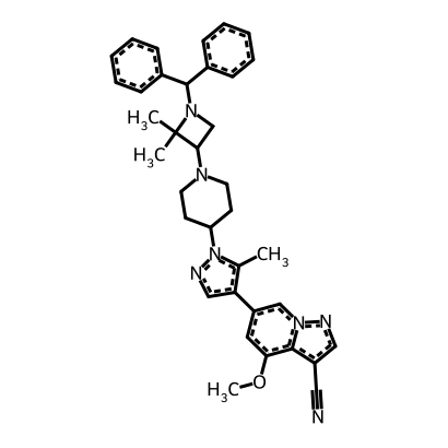 COc1cc(-c2cnn(C3CCN(C4CN(C(c5ccccc5)c5ccccc5)C4(C)C)CC3)c2C)cn2ncc(C#N)c12